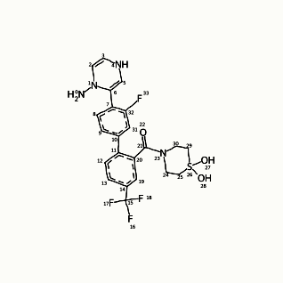 NN1C=CNC=C1c1ccc(-c2ccc(C(F)(F)F)cc2C(=O)N2CCS(O)(O)CC2)cc1F